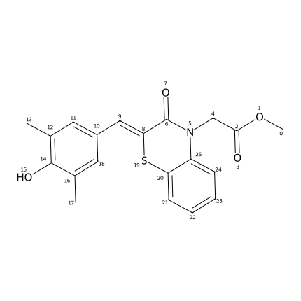 COC(=O)CN1C(=O)/C(=C/c2cc(C)c(O)c(C)c2)Sc2ccccc21